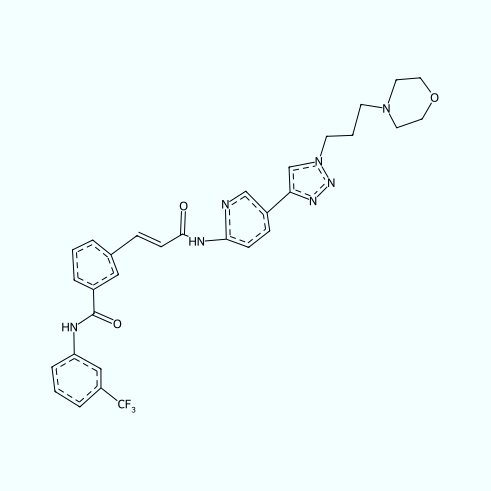 O=C(C=Cc1cccc(C(=O)Nc2cccc(C(F)(F)F)c2)c1)Nc1ccc(-c2cn(CCCN3CCOCC3)nn2)cn1